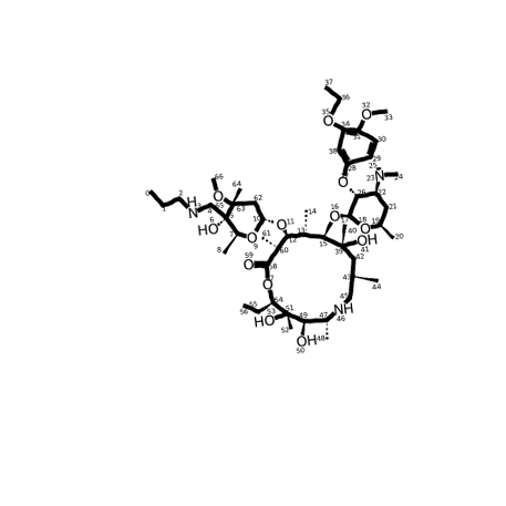 CCCNC[C@]1(O)[C@H](C)O[C@@H](O[C@H]2[C@H](C)[C@@H](O[C@@H]3O[C@H](C)C[C@H](N(C)C)[C@H]3Oc3ccc(OC)c(OCC)c3)[C@](C)(O)C[C@@H](C)CN[C@H](C)[C@@H](O)[C@](C)(O)[C@@H](CC)OC(=O)[C@@H]2C)C[C@@]1(C)OC